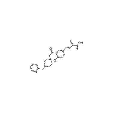 O=C(C=Cc1ccc2c(c1)C(=O)CC1(CCN(Cc3ccccn3)CC1)O2)NO